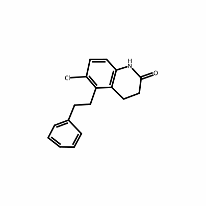 O=C1CCc2c(ccc(Cl)c2CCc2ccccc2)N1